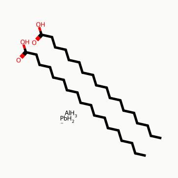 CCCCCCCCCCCCCCCCCC(=O)O.CCCCCCCCCCCCCCCCCC(=O)O.[AlH3].[PbH2]